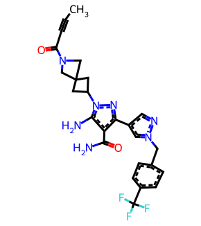 CC#CC(=O)N1CC2(CC(n3nc(-c4cnn(Cc5ccc(C(F)(F)F)cc5)c4)c(C(N)=O)c3N)C2)C1